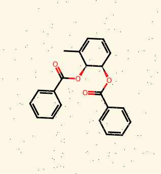 CC1=CC=C[C@@H](OC(=O)c2ccccc2)[C@H]1OC(=O)c1ccccc1